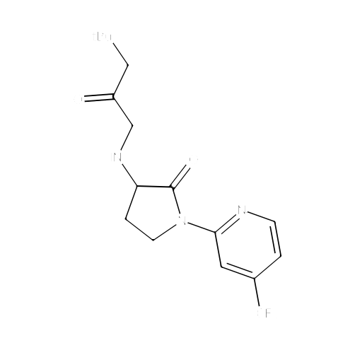 CC(C)(C)CC(=O)CNC1CCN(c2cc(C(F)(F)F)ccn2)C1=O